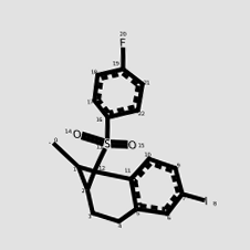 [CH2]C1C2CCc3cc(I)ccc3C12S(=O)(=O)c1ccc(F)cc1